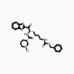 O=C(NCCCC[C@H](NC(=O)[C@H]1CCCN(Cl)C1)C(=O)c1nc2ccccc2s1)OCc1ccccc1